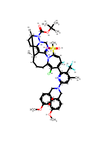 COc1ccc(CN(Cc2ccc(OC)cc2)c2cc(C)c(C(F)(F)F)c(C3=C(F)C=C(S(C)(=O)=O)N4C5=NCN6C7=C5[C@@H](CCCC4=C3Cl)[C@H](CC7)N6C(=O)OC(C)(C)C)n2)cc1